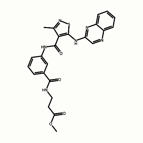 COC(=O)CCNC(=O)c1cccc(NC(=O)c2c(C)nsc2Nc2cnc3ccccc3n2)c1